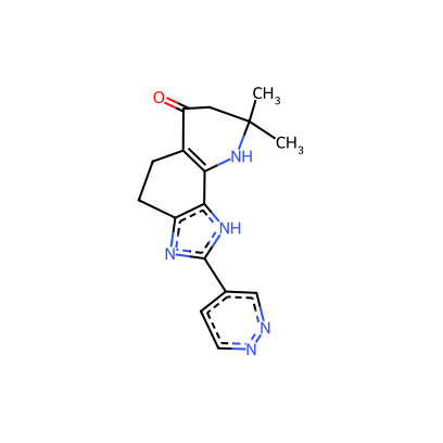 CC1(C)CC(=O)C2=C(N1)c1[nH]c(-c3ccnnc3)nc1CC2